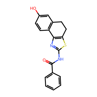 O=C(Nc1nc2c(s1)CCc1cc(O)ccc1-2)c1ccccc1